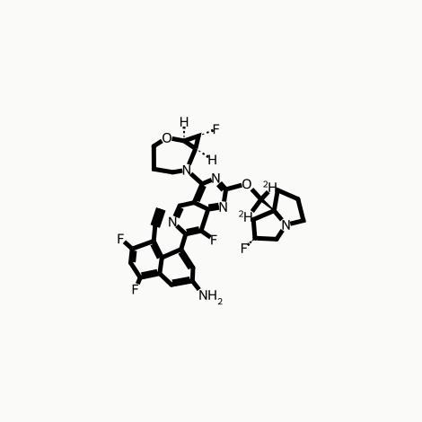 [2H]C([2H])(Oc1nc(N2CCCO[C@H]3[C@H](F)[C@H]32)c2cnc(-c3cc(N)cc4c(F)cc(F)c(C#C)c34)c(F)c2n1)[C@@]12CCCN1C[C@H](F)C2